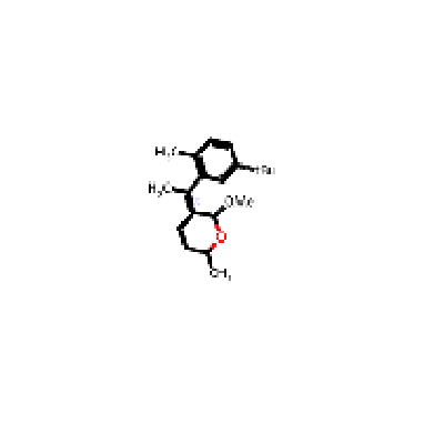 COC1OC(C)CC/C1=C(\C)c1cc(C(C)(C)C)ccc1C